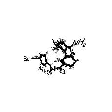 CON(Cc1ccc(Br)cc1)C(=O)c1ccc2nc(N)c3cnn(C)c3c2c1